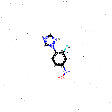 ONc1ccc(-n2cncn2)c(F)c1